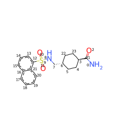 NC(=O)[C@H]1CC[C@H](CNS(=O)(=O)c2cccc3ccccc23)CC1